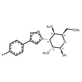 CC(=O)OC[C@H]1O[C@@H](S)[C@H](OC(C)=O)[C@H](n2cc(-c3ccc(F)cc3)nn2)[C@H]1OC(C)=O